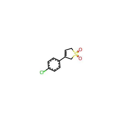 O=S1(=O)CC=C(c2ccc(Cl)cc2)C1